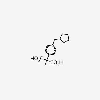 CC(C(=O)O)(C(=O)O)c1ccc(CC2CCCC2)cc1